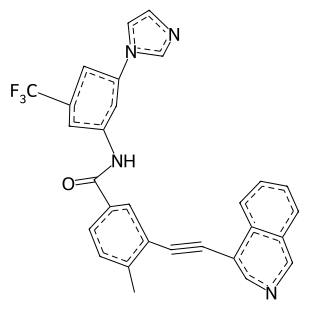 Cc1ccc(C(=O)Nc2cc(-n3ccnc3)cc(C(F)(F)F)c2)cc1C#Cc1cncc2ccccc12